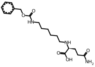 NC(=O)CC[C@H](NCCCCCCNC(=O)OCc1ccccc1)C(=O)O